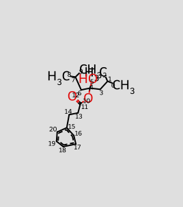 CC(C)CC(O)(CC(C)C)OC(=O)CCc1ccccc1